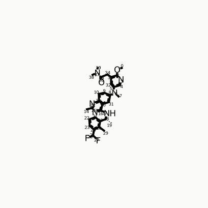 COc1ncc(N(C)c2ccc3nc(C)nc(N[C@H](C)c4cccc(C(F)F)c4C)c3c2)cc1CC(=O)N(C)C